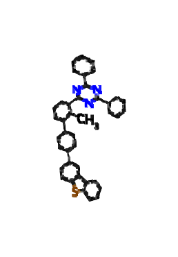 Cc1c(-c2ccc(-c3ccc4sc5ccccc5c4c3)cc2)cccc1-c1nc(-c2ccccc2)nc(-c2ccccc2)n1